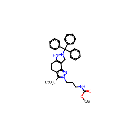 CCOC(=O)c1c2c(nn1CCCNC(=O)OC(C)(C)C)C1=C(CC2)NN(C(c2ccccc2)(c2ccccc2)c2ccccc2)C1